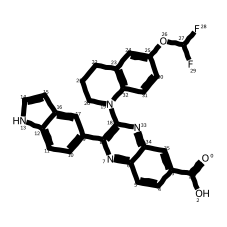 O=C(O)c1ccc2nc(-c3ccc4[nH]ccc4c3)c(N3CCCc4cc(OC(F)F)ccc43)nc2c1